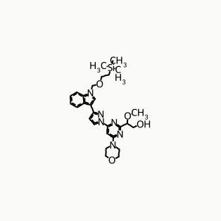 COC(CO)c1nc(N2CCOCC2)cc(-n2ccc(-c3cn(COCC[Si](C)(C)C)c4ccccc34)n2)n1